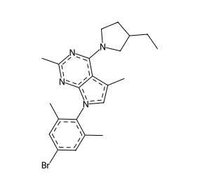 CCC1CCN(c2nc(C)nc3c2c(C)cn3-c2c(C)cc(Br)cc2C)C1